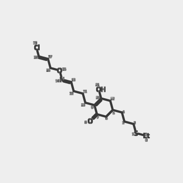 CCSCCCC1CC(=O)C(CCCC=NOCC=CCl)=C(O)C1